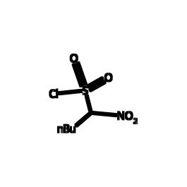 CCCCC([N+](=O)[O-])S(=O)(=O)Cl